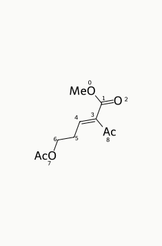 COC(=O)C(=CCCOC(C)=O)C(C)=O